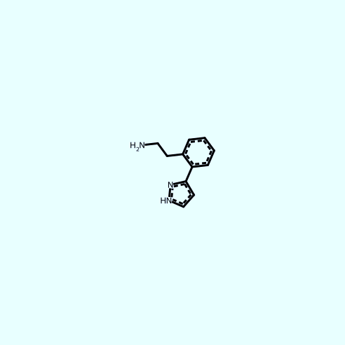 NCCc1ccccc1-c1cc[nH]n1